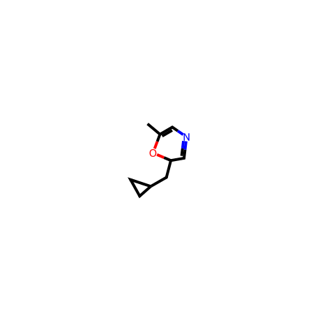 CC1=CN=CC(CC2CC2)O1